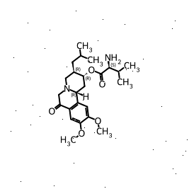 COc1cc2c(cc1OC)[C@H]1C[C@@H](OC(=O)[C@@H](N)C(C)C)[C@H](CC(C)C)CN1CC2=O